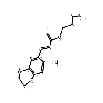 Cl.NCCCOC(=O)/C=C/c1ccc2c(c1)OCCO2